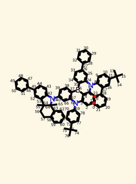 Cc1cc2c3c(c1)N(c1ccc(C(C)(C)C)cc1-c1ccccc1)c1cc(-c4ccccc4)ccc1B3c1ccc(N3c4ccc(-c5ccccc5)cc4C4(C)CCc5ccccc5C34C)cc1N2c1ccc(C(C)(C)C)cc1